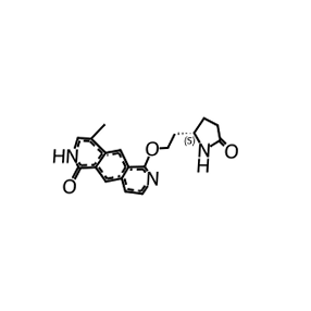 Cc1c[nH]c(=O)c2cc3ccnc(OCC[C@@H]4CCC(=O)N4)c3cc12